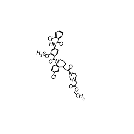 CCOC(=O)CN1CCN(C(=O)CC2CCCN(C(=O)c3ccc(NC(=O)c4ccccc4Cl)cc3OC)c3ccc(Cl)cc32)CC1